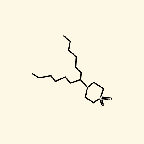 CCCCCCC(CCCCCC)C1CCS(=O)(=O)CC1